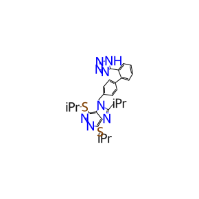 CC(C)Sc1nnc(SC(C)C)c2c1nc(C(C)C)n2Cc1ccc(-c2ccccc2-c2nnn[nH]2)cc1